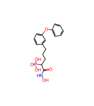 O=C(NO)C(CCCc1cccc(Oc2ccccc2)c1)P(=O)(O)O